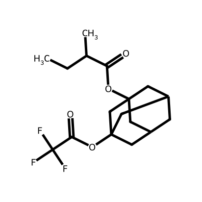 CCC(C)C(=O)OC12CC3CC(C1)CC(OC(=O)C(F)(F)F)(C3)C2